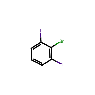 Brc1c(I)cccc1I